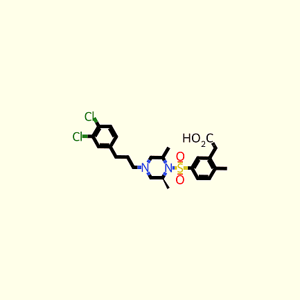 Cc1ccc(S(=O)(=O)N2C(C)CN(CCCc3ccc(Cl)c(Cl)c3)C[C@@H]2C)cc1CC(=O)O